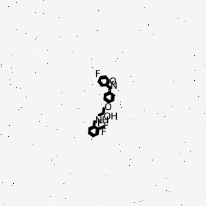 OC(CNCc1ccccc1C(F)(F)F)COc1ccc(-c2noc3cc(F)ccc23)cc1